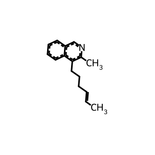 C/C=C/CCCc1c(C)ncc2ccccc12